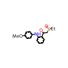 CC[S+]([O-])CC(=O)c1ccccc1Nc1ccc(OC)cc1